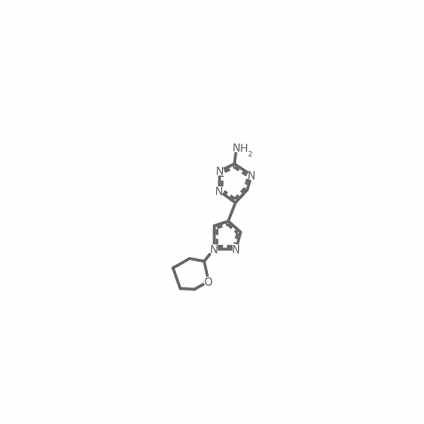 Nc1ncc(-c2cnn(C3CCCCO3)c2)nn1